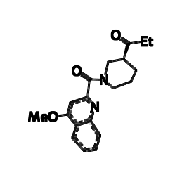 CCC(=O)[C@H]1CCCN(C(=O)c2cc(OC)c3ccccc3n2)C1